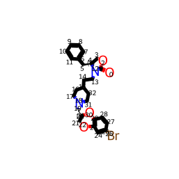 O=C1OC[C@H](Cc2ccccc2)N1CCC1CCN(C[C@H]2COc3cc(Br)ccc3O2)CC1